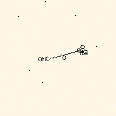 CC(C)(C)[Si](OCCCCCCCCC(=O)CCCCCCCCC=O)(c1ccccc1)c1ccccc1